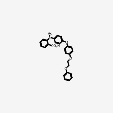 CC(=O)N(c1ccc(Oc2ccc(OCCOc3ccccc3)cc2)cc1)c1ccccc1C(=O)O